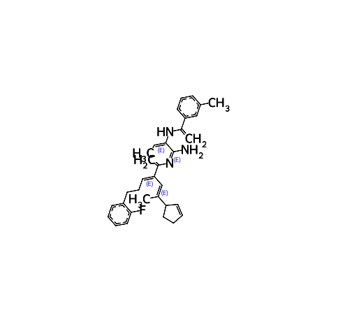 C=C(/N=C(N)\C(=C/C)NC(=C)c1cccc(C)c1)C(=C/CCc1ccccc1F)/C=C(\C)C1C=CCC1